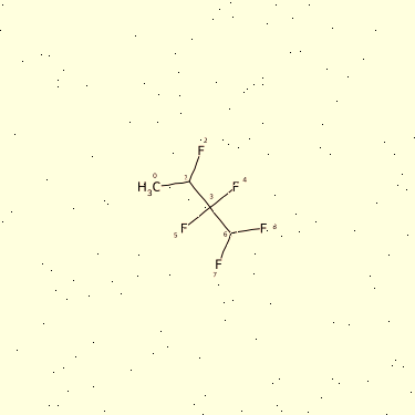 CC(F)C(F)(F)[C](F)F